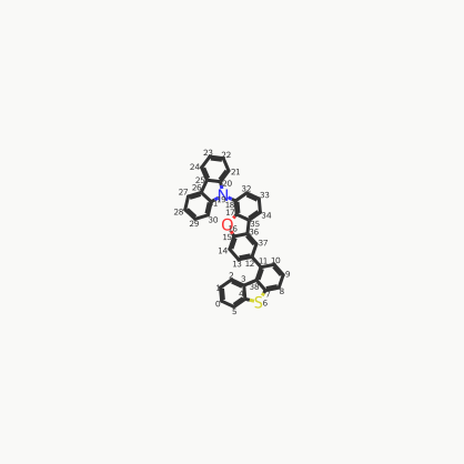 c1ccc2c(c1)sc1cccc(-c3ccc4oc5c(-n6c7ccccc7c7ccccc76)cccc5c4c3)c12